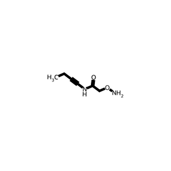 CCC#CNC(=O)CON